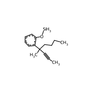 CC#CC(C)(CCCC)c1ccccc1O[SiH3]